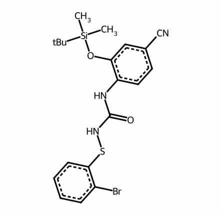 CC(C)(C)[Si](C)(C)Oc1cc(C#N)ccc1NC(=O)NSc1ccccc1Br